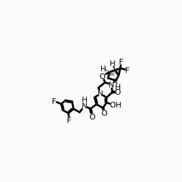 O=C(NCc1ccc(F)cc1F)c1cn2c(c(O)c1=O)C(=O)N1C(C2)O[C@@H]2C[C@H]1C1[C@H]2C1(F)F